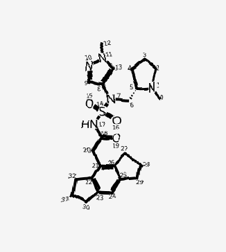 CN1CCC[C@H]1CN(c1cnn(C)c1)S(=O)(=O)NC(=O)Cc1c2c(cc3c1CCC3)CCC2